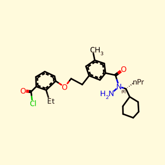 CCC[C@H](C1CCCCC1)N(N)C(=O)c1cc(C)cc(CCOc2cccc(C(=O)Cl)c2CC)c1